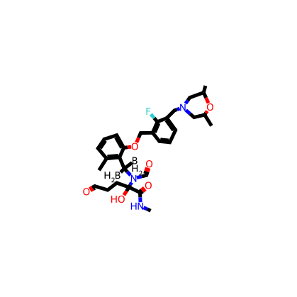 BC(B)(c1c(C)cccc1OCc1cccc(CN2CC(C)OC(C)C2)c1F)N(C=O)C(O)(CCC=O)C(=O)NC